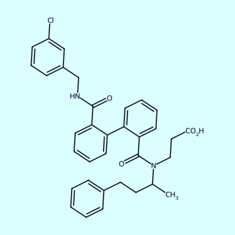 CC(CCc1ccccc1)N(CCC(=O)O)C(=O)c1ccccc1-c1ccccc1C(=O)NCc1cccc(Cl)c1